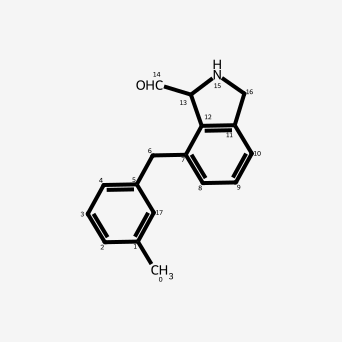 Cc1cccc(Cc2cccc3c2C(C=O)NC3)c1